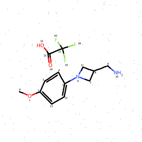 COc1ccc(N2CC(CN)C2)cc1.O=C(O)C(F)(F)F